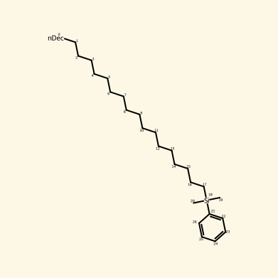 [CH2]CCCCCCCCCCCCCCCCCCCCCCCCCC[Si](C)(C)c1ccccc1